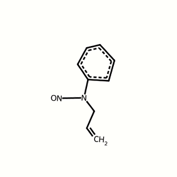 C=CCN(N=O)c1ccccc1